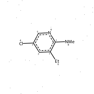 CCc1cc(Cl)cnc1NC